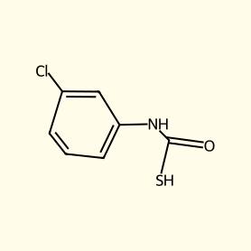 O=C(S)Nc1cccc(Cl)c1